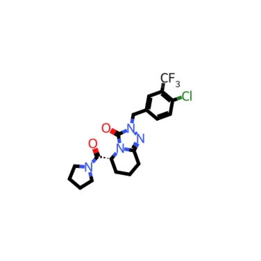 O=C([C@H]1CCCc2nn(Cc3ccc(Cl)c(C(F)(F)F)c3)c(=O)n21)N1CCCC1